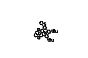 CC(C)(C)c1cc(-c2ccc3c(c2)oc2ccccc23)c2c(c1)c1cc(C(C)(C)C)cc(-c3ccc4c(c3)sc3ccccc34)c1n2-c1ccc2oc3ccccc3c2c1